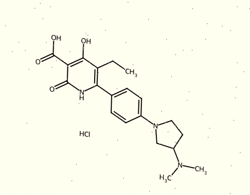 CCc1c(-c2ccc(N3CCC(N(C)C)C3)cc2)[nH]c(=O)c(C(=O)O)c1O.Cl